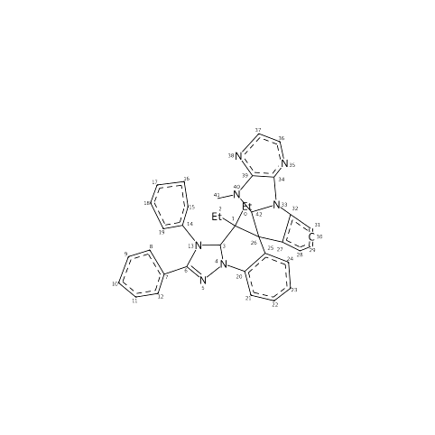 CCC1(CC)C2N(N=C(c3ccccc3)N2c2ccccc2)c2ccccc2C12c1ccccc1N1c3nccnc3N(C)C12